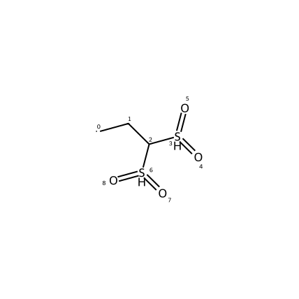 [CH2]CC([SH](=O)=O)[SH](=O)=O